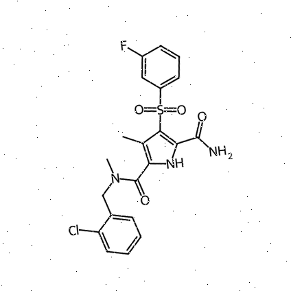 Cc1c(C(=O)N(C)Cc2ccccc2Cl)[nH]c(C(N)=O)c1S(=O)(=O)c1cccc(F)c1